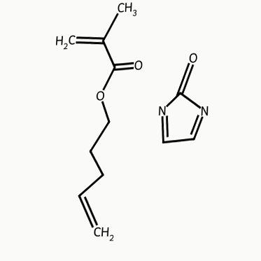 C=CCCCOC(=O)C(=C)C.O=C1N=CC=N1